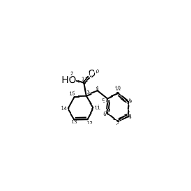 O=C(O)C1(Cc2ccccc2)CC=CCC1